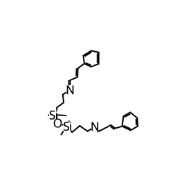 C[Si](C)(CCCN=CC=Cc1ccccc1)O[Si](C)(C)CCCN=CC=Cc1ccccc1